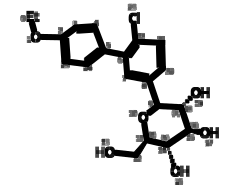 CCOc1ccc(-c2cc(C3O[C@H](CO)[C@@H](O)[C@H](O)[C@H]3O)ccc2Cl)cc1